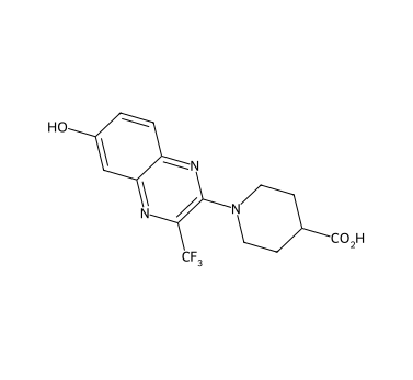 O=C(O)C1CCN(c2nc3ccc(O)cc3nc2C(F)(F)F)CC1